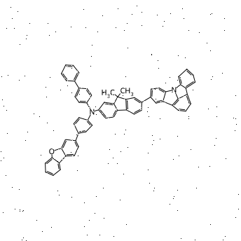 CC1(C)c2cc(-c3ccc4c(c3)c3cccc5c6ccccc6n4c53)ccc2-c2ccc(N(c3ccc(-c4ccccc4)cc3)c3ccc(-c4ccc5c(c4)oc4ccccc45)cc3)cc21